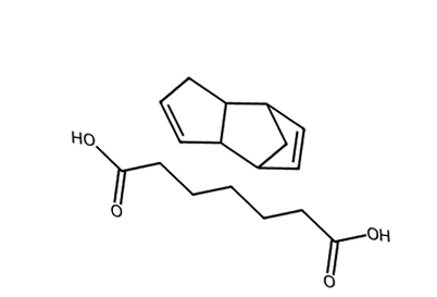 C1=CC2C3C=CC(C3)C2C1.O=C(O)CCCCCC(=O)O